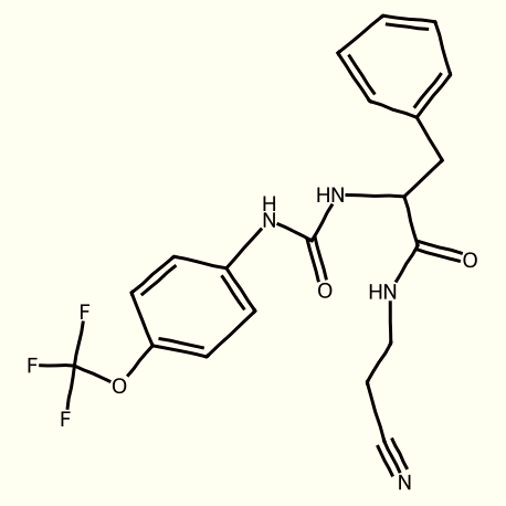 N#CCCNC(=O)C(Cc1ccccc1)NC(=O)Nc1ccc(OC(F)(F)F)cc1